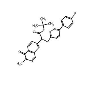 Cn1ncc2cc(N(Cc3ccc(-c4ccc(F)cc4)cn3)C(=O)OC(C)(C)C)ccc2c1=O